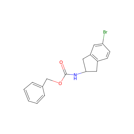 O=C(NC1Cc2ccc(Br)cc2C1)OCc1ccccc1